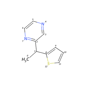 CC(c1cnccn1)c1cccs1